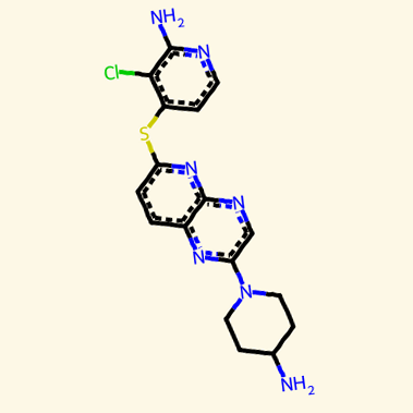 Nc1nccc(Sc2ccc3nc(N4CCC(N)CC4)cnc3n2)c1Cl